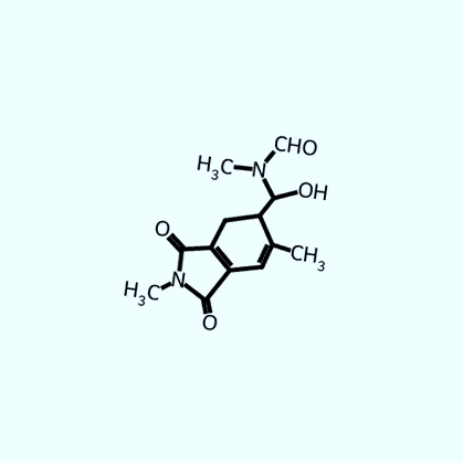 CC1=CC2=C(CC1C(O)N(C)C=O)C(=O)N(C)C2=O